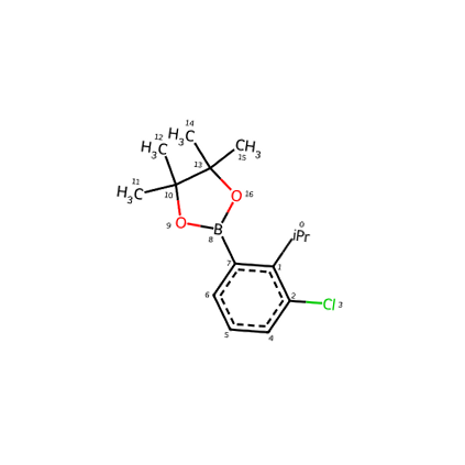 CC(C)c1c(Cl)cccc1B1OC(C)(C)C(C)(C)O1